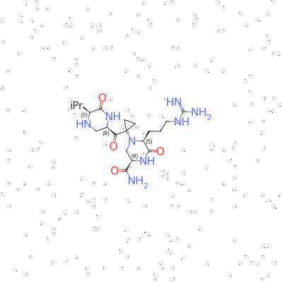 CC(C)[C@@H]1NC[C@H](C(=O)C2(N3C[C@H](C(N)=O)NC(=O)[C@@H]3CCCNC(=N)N)CC2)NC1=O